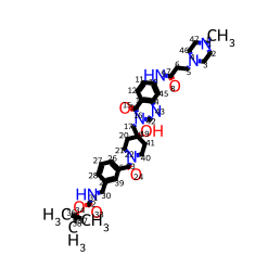 CN1CCN(CCC(=O)Nc2ccc3c(=O)n(CC4(O)CCN(C(=O)c5cccc(CNC(=O)OC(C)(C)C)c5)CC4)cnc3c2)CC1